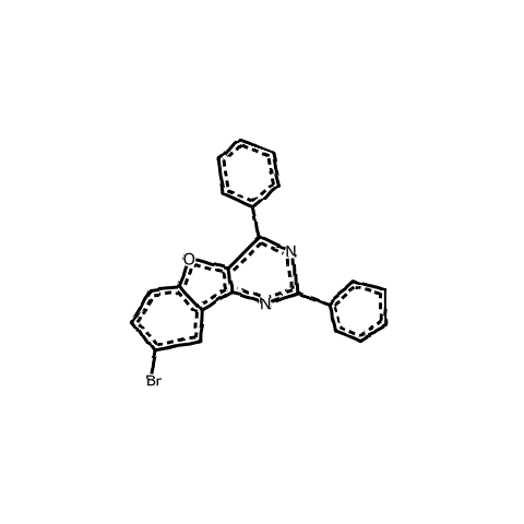 Brc1ccc2oc3c(-c4ccccc4)nc(-c4ccccc4)nc3c2c1